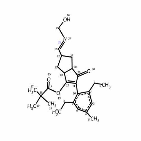 CCc1cc(C)cc(CC)c1C1=C(OC(=O)C(C)(C)C)C2CC(/C=N/CO)CC2C1=O